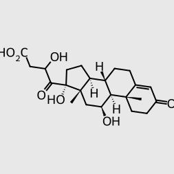 C[C@]12CCC(=O)C=C1CC[C@@H]1[C@@H]2[C@@H](O)C[C@@]2(C)[C@H]1CC[C@]2(O)C(=O)C(O)CC(=O)O